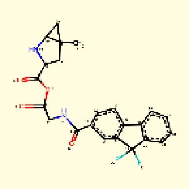 CC12CC(C(=O)OC(=O)CNC(=O)c3ccc4c(c3)C(F)(F)c3ccccc3-4)NC1C2